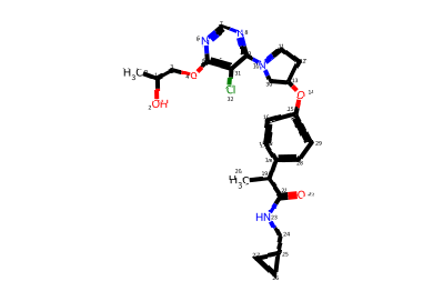 CC(O)COc1ncnc(N2CCC(Oc3ccc(C(C)C(=O)NCC4CC4)cc3)C2)c1Cl